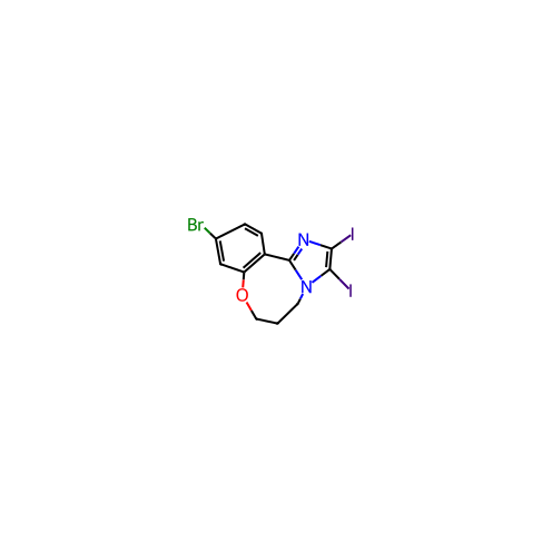 Brc1ccc2c(c1)OCCCn1c-2nc(I)c1I